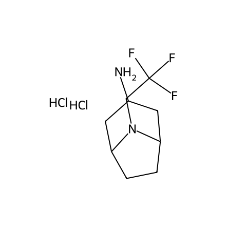 Cl.Cl.NC1CC2CCC(C1)N2CC(F)(F)F